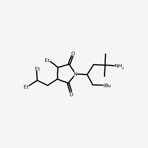 CCC(CC)CC1C(=O)N(C(CC(C)(C)C)CC(C)(C)N)C(=O)C1CC